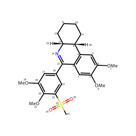 COc1cc2c(cc1OC)[C@H]1CCCC[C@H]1N=C2c1cc(OC)c(OC)c(S(C)(=O)=O)c1